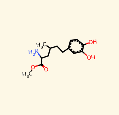 COC(=O)C(N)CC(C)CCc1ccc(O)c(O)c1